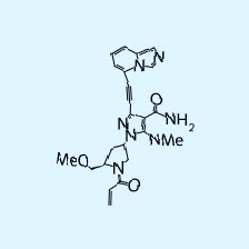 C=CC(=O)N1C[C@@H](n2nc(C#Cc3cccc4cncn34)c(C(N)=O)c2NC)C[C@@H]1COC